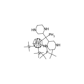 CC(C)(C)P(C[C]12[C]3(C(P)(C4CNCCN4)C4CNCCN4)[CH]4[C]5([Si](C)(C)C)[C]1([Si](C)(C)C)[Fe]42351678[CH]2[CH]1[CH]6[CH]7[CH]28)C(C)(C)C